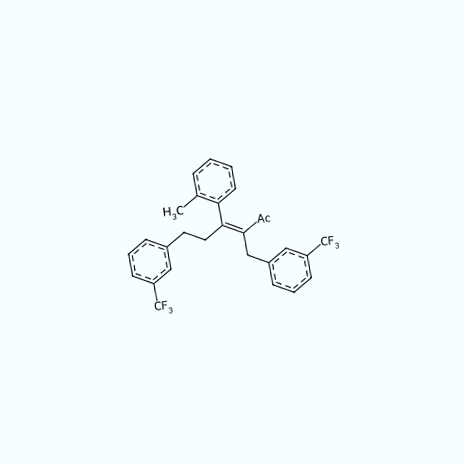 CC(=O)/C(Cc1cccc(C(F)(F)F)c1)=C(/CCc1cccc(C(F)(F)F)c1)c1ccccc1C